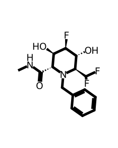 CNC(=O)[C@@H]1[C@@H](O)[C@@H](F)[C@H](O)[C@@H](C(F)F)N1Cc1ccccc1